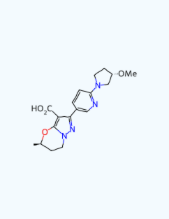 CO[C@H]1CCN(c2ccc(-c3nn4c(c3C(=O)O)O[C@H](C)CC4)cn2)C1